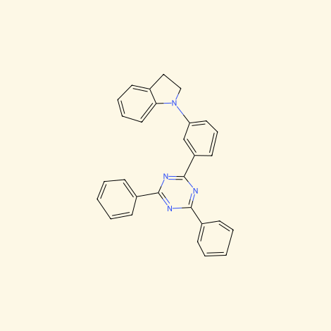 c1ccc(-c2nc(-c3ccccc3)nc(-c3cccc(N4CCc5ccccc54)c3)n2)cc1